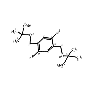 COC(C)(C)OCc1cc(Br)c(COC(C)(C)OC)cc1F